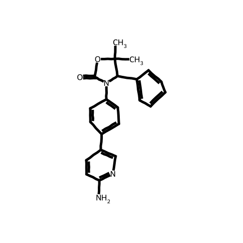 CC1(C)OC(=O)N(c2ccc(-c3ccc(N)nc3)cc2)C1c1ccccc1